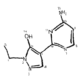 CCn1ncc(-c2nccc(N)n2)c1O